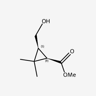 COC(=O)[C@@H]1[C@H](CO)C1(C)C